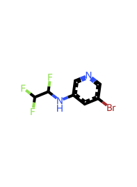 FC(F)C(F)Nc1cncc(Br)c1